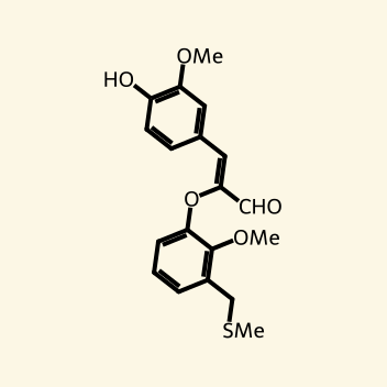 COc1cc(/C=C(/C=O)Oc2cccc(CSC)c2OC)ccc1O